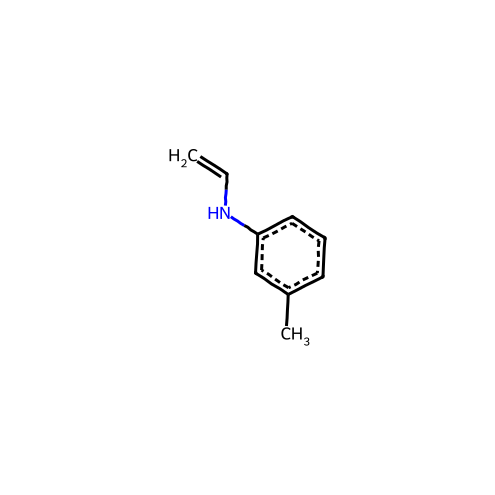 C=CNc1cccc(C)c1